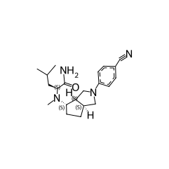 CC(C)C[C@@H](C(N)=O)N(C)[C@H]1CC[C@@H]2CN(c3ccc(C#N)cc3)C[C@@H]21